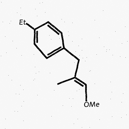 CCc1ccc(C/C(C)=C/OC)cc1